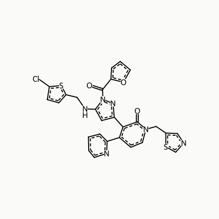 O=C(c1ccco1)n1nc(-c2c(-c3ccccn3)ccn(Cc3cncs3)c2=O)cc1NCc1ccc(Cl)s1